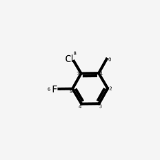 Cc1[c]ccc(F)c1Cl